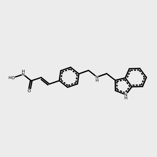 O=C(/C=C/c1ccc(CNCc2c[nH]c3ccccc23)cc1)NO